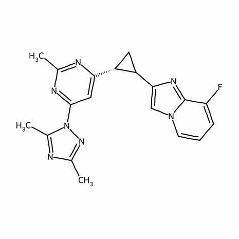 Cc1nc([C@@H]2CC2c2cn3cccc(F)c3n2)cc(-n2nc(C)nc2C)n1